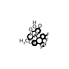 CC1(C)CCN2C(=O)c3c(O)c(=O)ccn3N(C3c4ccccc4-c4scnc4-c4c3ccc(F)c4F)C2C1